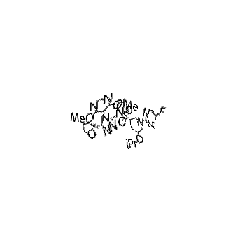 COc1ncnc(OC)c1-n1c(NS(=O)(=O)C2CC(OC(C)C)CN(c3ncc(F)cn3)C2)nnc1[C@H]1CCCO1